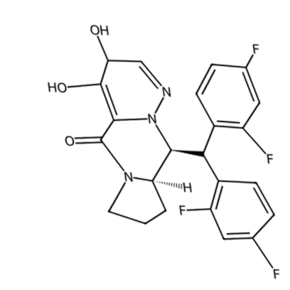 O=C1C2=C(O)C(O)C=NN2[C@@H](C(c2ccc(F)cc2F)c2ccc(F)cc2F)[C@H]2CCCN12